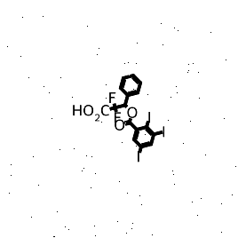 O=C(OC(c1ccccc1)C(F)(F)C(=O)O)c1cc(I)cc(I)c1I